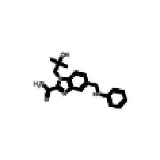 CC(C)(O)Cn1c(C(N)=O)nc2cc(CNc3ccccc3)ccc21